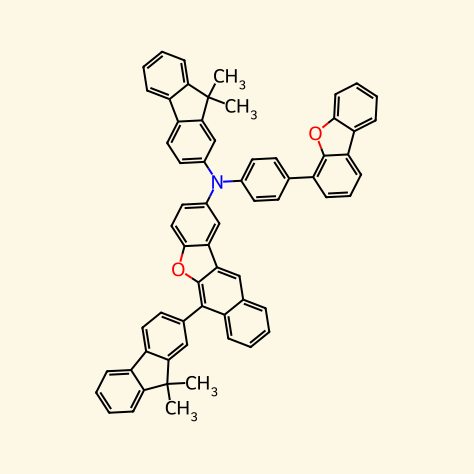 CC1(C)c2ccccc2-c2ccc(-c3c4ccccc4cc4c3oc3ccc(N(c5ccc(-c6cccc7c6oc6ccccc67)cc5)c5ccc6c(c5)C(C)(C)c5ccccc5-6)cc34)cc21